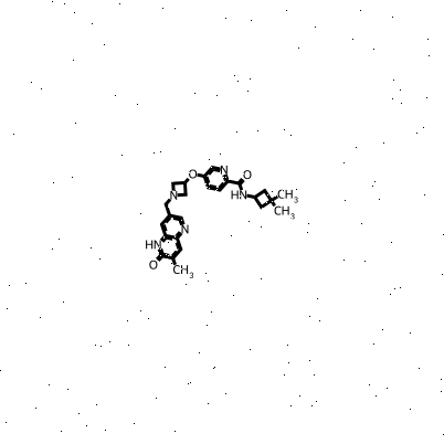 Cc1cc2ncc(CN3CC(Oc4ccc(C(=O)NC5CC(C)(C)C5)nc4)C3)cc2[nH]c1=O